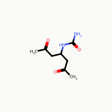 CC(=O)CC(CC(C)=O)NC(N)=O